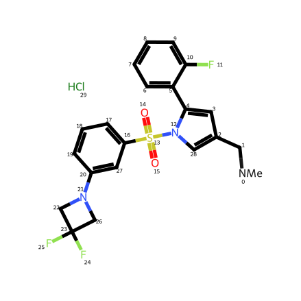 CNCc1cc(-c2ccccc2F)n(S(=O)(=O)c2cccc(N3CC(F)(F)C3)c2)c1.Cl